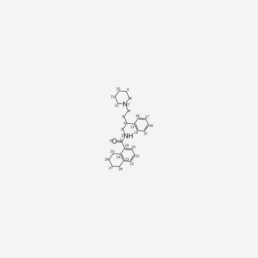 O=C(NCC(CCN1CCCCC1)c1ccccc1)c1cccc2c1CCCC2